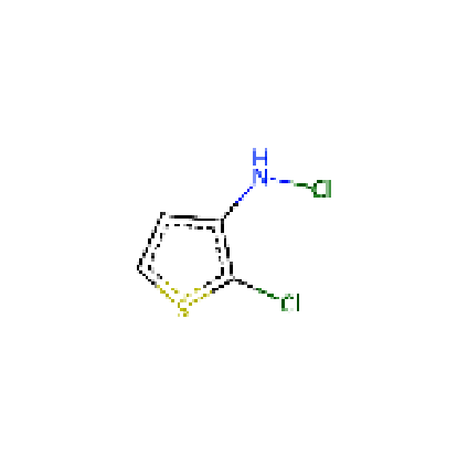 ClNc1ccsc1Cl